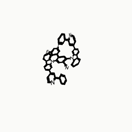 N#Cc1cc(-n2c3ccccc3c3ccc(-c4ccnc(-c5ccccc5)c4)cc32)c(-c2cc(F)cc(F)c2)cc1-n1c2ccccc2c2ccc(-c3ccnc(-c4ccccc4)c3)cc21